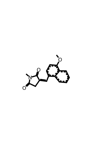 COc1ccc(/C=C2/CC(=O)N(C)C2=O)c2ccccc12